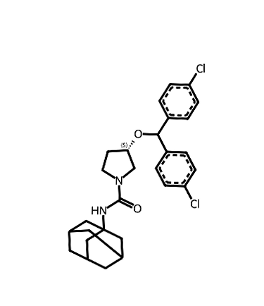 O=C(NC12CC3CC(CC(C3)C1)C2)N1CC[C@H](OC(c2ccc(Cl)cc2)c2ccc(Cl)cc2)C1